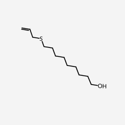 C=CCSCCCCCCCCCO